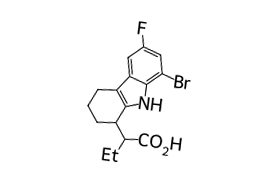 CCC(C(=O)O)C1CCCc2c1[nH]c1c(Br)cc(F)cc21